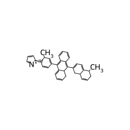 CC1CC=CC2CC(C3=c4ccccc4=C(C4=CC(C)[C@H](C5=[N+]=CC=C5)C=C4)C4=CC=CCC43)=CC=C12